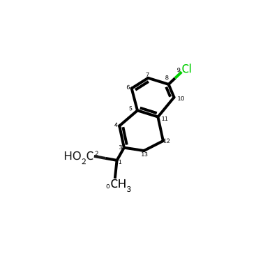 CC(C(=O)O)C1=Cc2ccc(Cl)cc2CC1